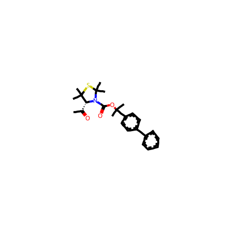 CC(=O)[C@H]1N(C(=O)OC(C)(C)c2ccc(-c3ccccc3)cc2)C(C)(C)SC1(C)C